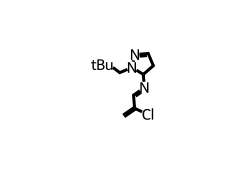 C=C(Cl)C=NC1CC=NN1CC(C)(C)C